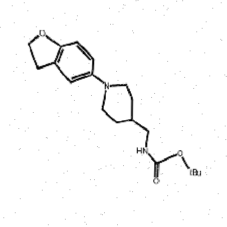 CC(C)(C)OC(=O)NCC1CCN(c2ccc3c(c2)CCO3)CC1